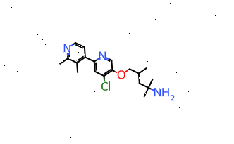 Cc1nccc(-c2cc(Cl)c(OCC(C)CC(C)(C)N)cn2)c1C